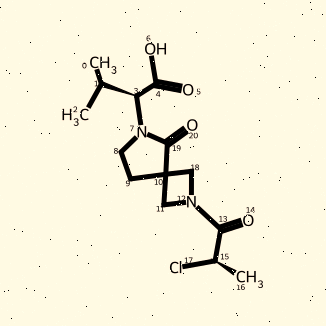 CC(C)[C@@H](C(=O)O)N1CCC2(CN(C(=O)[C@@H](C)Cl)C2)C1=O